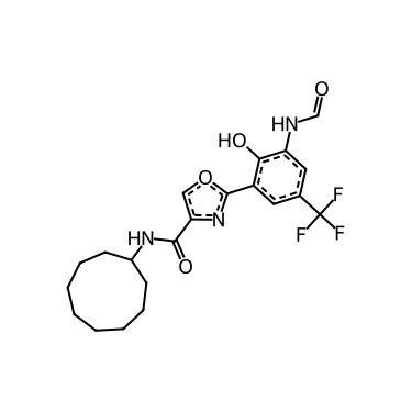 O=CNc1cc(C(F)(F)F)cc(-c2nc(C(=O)NC3CCCCCCCC3)co2)c1O